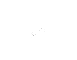 CN(Cc1ccc(SC(F)(F)F)cc1)c1ssc(=O)c1Cl